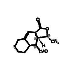 C[C@H]1OC(=O)C2C=C3CSCCC3[C@H](C=O)[C@@H]21